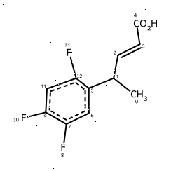 CC(/C=C/C(=O)O)c1cc(F)c(F)cc1F